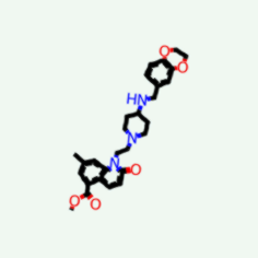 COC(=O)c1cc(C)cc2c1ccc(=O)n2CCN1CCC(NCc2ccc3c(c2)OCCO3)CC1